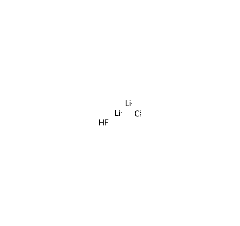 F.[C].[Li].[Li]